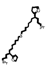 CC(C)CCCC(CCCCCCCSCCCCCCCC(CCCC(C)C)C1CCCO1)C1CCCO1